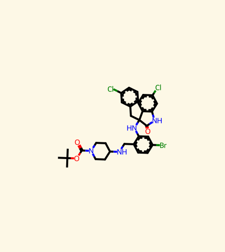 CC(C)(C)OC(=O)N1CCC(NCc2ccc(Br)cc2NC2(Cc3cccc(Cl)c3)C(=O)Nc3cc(Cl)ccc32)CC1